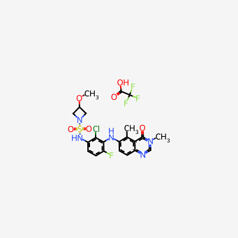 COC1CN(S(=O)(=O)Nc2ccc(F)c(Nc3ccc4ncn(C)c(=O)c4c3C)c2Cl)C1.O=C(O)C(F)(F)F